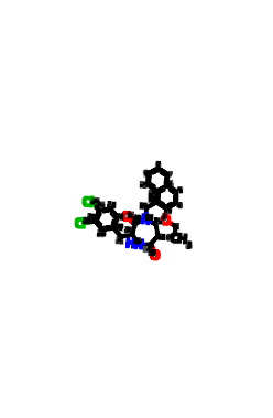 CCOc1ccc2ccccc2c1CN1CCC(=O)N[C@@H](Cc2ccc(Cl)c(Cl)c2)C1=O